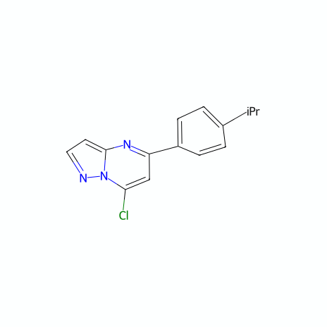 CC(C)c1ccc(-c2cc(Cl)n3nccc3n2)cc1